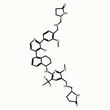 COc1cc(-c2nccc(-c3cccc4c3CCC[C@H]4Nc3nc(OC)c(CNC[C@@H]4CCC(=O)N4)cc3C(F)(F)F)c2Cl)ccc1CNC[C@H]1CCC(=O)N1